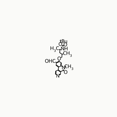 CC(COc1cc2c(cc1C=O)c1ccncc1c(=O)n2C)CC(C)NC(=O)OC(C)(C)C